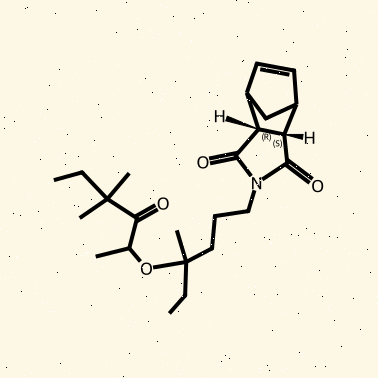 CCC(C)(CCCN1C(=O)[C@@H]2C3C=CC(C3)[C@@H]2C1=O)OC(C)C(=O)C(C)(C)CC